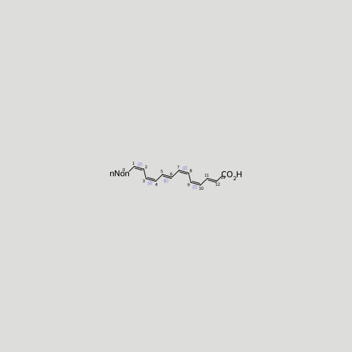 CCCCCCCCC\C=C/C=C\C=C\C=C/C=C\C=CC(=O)O